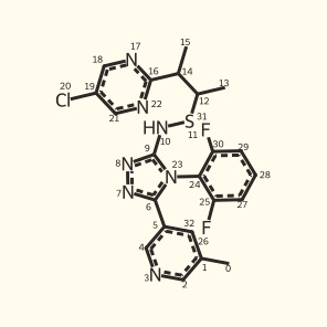 Cc1cncc(-c2nnc(NSC(C)C(C)c3ncc(Cl)cn3)n2-c2c(F)cccc2F)c1